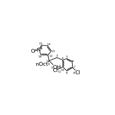 CCCCCCCCC(O)(Cc1ccc(Cl)cc1Cl)c1ccc[n+]([O-])c1